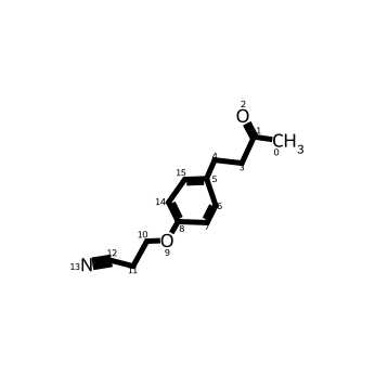 CC(=O)CCc1ccc(OCCC#N)cc1